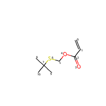 C=CC(=O)OCSC(C)(C)C